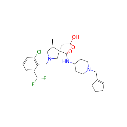 C[C@@H]1CN(Cc2c(Cl)cccc2C(F)F)C[C@]1(CC(=O)O)C(=O)NC1CCN(CC2=CCCC2)CC1